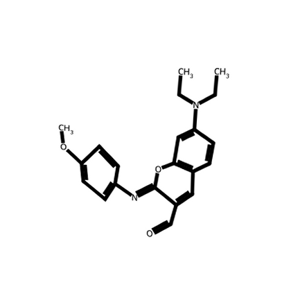 CCN(CC)c1ccc2cc(C=O)c(=Nc3ccc(OC)cc3)oc2c1